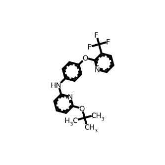 CC(C)(C)Oc1cccc(Nc2ccc(Oc3ncccc3C(F)(F)F)cc2)n1